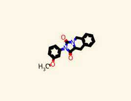 COc1cccc(N2C(=O)C3Cc4ccccc4CN3C2=O)c1